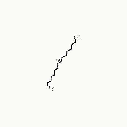 [CH2]CCCCCCCCCCCCCCC.[Pd]